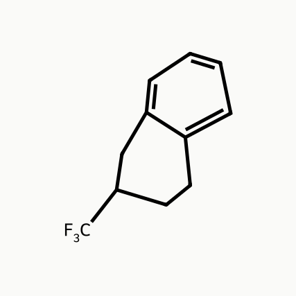 FC(F)(F)C1CCc2ccccc2C1